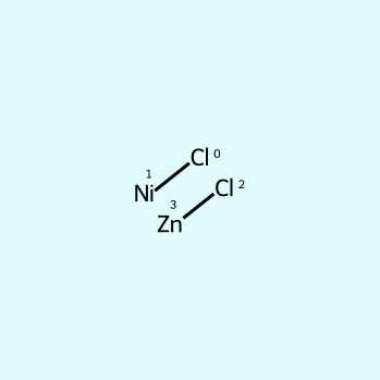 [Cl][Ni].[Cl][Zn]